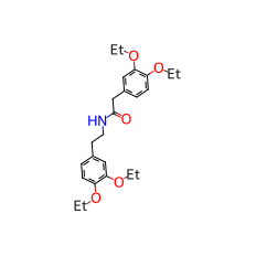 CCOc1ccc(CCNC(=O)Cc2ccc(OCC)c(OCC)c2)cc1OCC